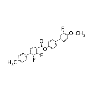 CCOc1ccc(-c2ccc(OC(=O)c3ccc(-c4ccc(C)cc4)c(F)c3F)cc2)cc1F